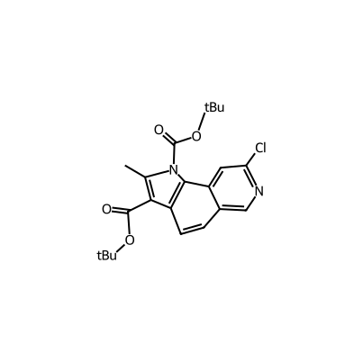 Cc1c(C(=O)OC(C)(C)C)c2ccc3cnc(Cl)cc3c2n1C(=O)OC(C)(C)C